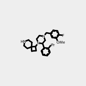 COc1cc(CN2CCN(C3CCC34CCNCC4)C(c3ccccc3C(C)C)C2)ccc1F